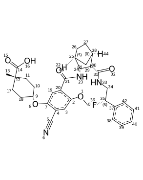 COc1cc(C#N)c(O[C@H]2CC[C@@](C)(C(=O)O)CC2)cc1C(=O)N[C@@H]1[C@H]2CC[C@H](C2)[C@@H]1C(=O)NC[C@@H](F)c1ccccc1